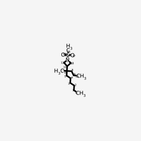 CCCCCCC(C)(CCC)C1CN(S(C)(=O)=O)C1